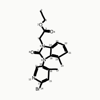 CCOC(=O)Cn1c(=O)n(-c2cnc(Br)cc2C)c2c(C)cccc21